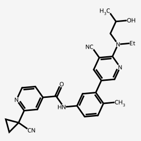 CCN(CC(C)O)c1ncc(-c2cc(NC(=O)c3ccnc(C4(C#N)CC4)c3)ccc2C)cc1C#N